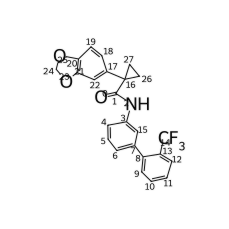 O=C(Nc1cccc(-c2ccccc2C(F)(F)F)c1)C1(c2ccc3c(c2)OCO3)CC1